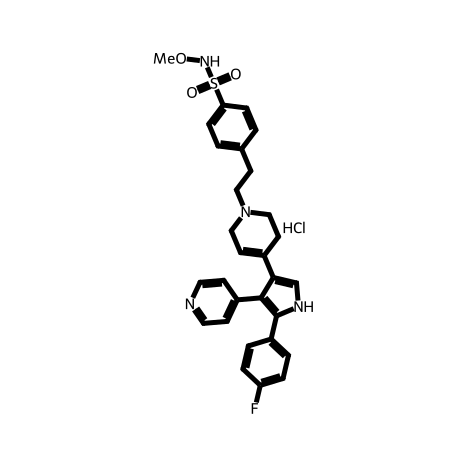 CONS(=O)(=O)c1ccc(CCN2CC=C(c3c[nH]c(-c4ccc(F)cc4)c3-c3ccncc3)CC2)cc1.Cl